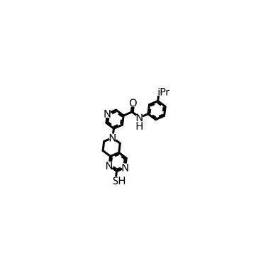 CC(C)c1cccc(NC(=O)c2cncc(N3CCc4nc(S)ncc4C3)c2)c1